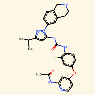 CC(=O)Nc1cc(Oc2ccc(NC(=O)Nc3cc(C(C)C)nn3-c3ccc4c(c3)CCNC4)c(F)c2)ccn1